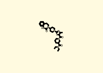 CCN(CC)C(=O)C1CCCN(C(=O)C2SC(N3CCC(N4CCc5ccccc5NC4=O)CC3)=NC2C)C1